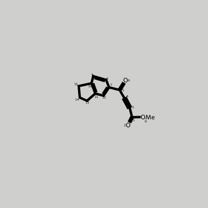 COC(=O)C#CC(=O)c1ccc2c(c1)CCC2